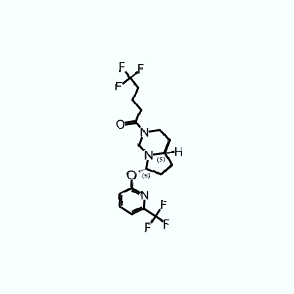 O=C(CCCC(F)(F)F)N1CC[C@@H]2CC[C@H](Oc3cccc(C(F)(F)F)n3)N2C1